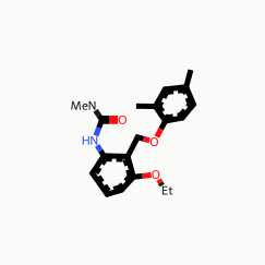 CCOc1cccc(NC(=O)NC)c1COc1ccc(C)cc1C